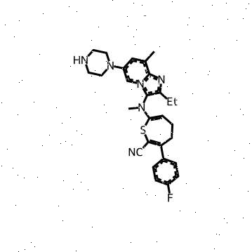 CCc1nc2c(C)cc(N3CCNCC3)cn2c1N(C)C1=CCCC(c2ccc(F)cc2)=C(C#N)S1